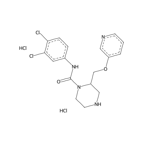 Cl.Cl.O=C(Nc1ccc(Cl)c(Cl)c1)N1CCNCC1COc1cccnc1